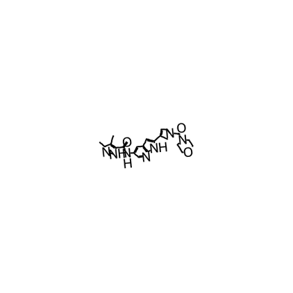 Cc1n[nH]c(C(=O)Nc2cnc3[nH]c(C4=CCN(C(=O)N5CCOCC5)C4)cc3c2)c1C